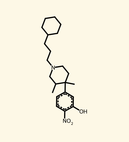 CC1CN(CCCC2CCCCC2)CCC1(C)c1ccc([N+](=O)[O-])c(O)c1